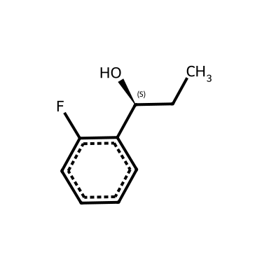 CC[C@H](O)c1ccccc1F